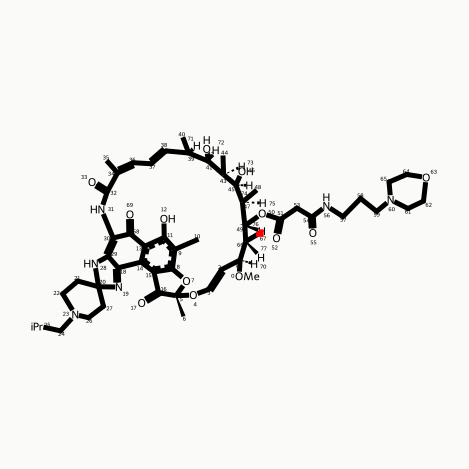 CO[C@H]1/C=C/O[C@@]2(C)Oc3c(C)c(O)c4c(c3C2=O)C2=NC3(CCN(CC(C)C)CC3)NC2=C(NC(=O)/C(C)=C\C=C\[C@H](C)[C@H](O)[C@@H](C)[C@@H](O)[C@@H](C)[C@H](OC(=O)CC(=O)NCCCN2CCOCC2)[C@@H]1C)C4=O